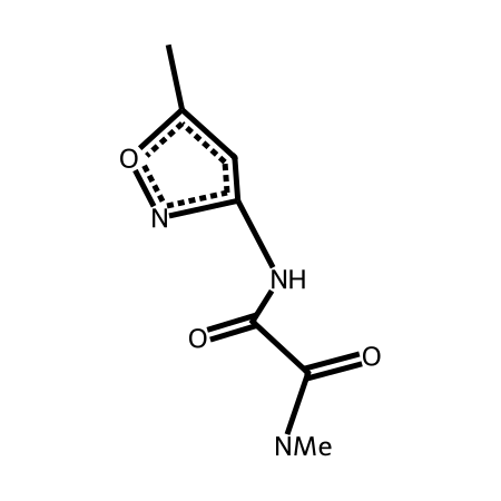 CNC(=O)C(=O)Nc1cc(C)on1